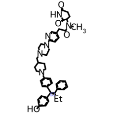 CC/C(=C(\c1ccc(O)cc1)c1ccc(N2CCC(CN3CCN(c4ccc(CC(=O)N(C)C5CCC(=O)NC5=O)cn4)CC3)CC2)cc1)c1ccccc1